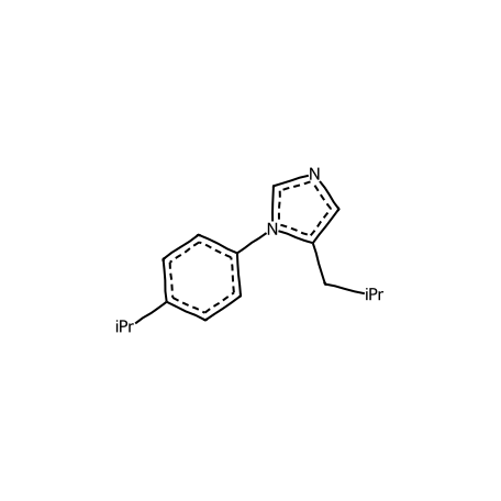 CC(C)Cc1cncn1-c1ccc(C(C)C)cc1